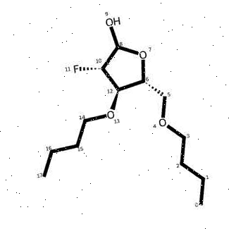 CCCCOC[C@H]1OC(O)[C@@H](F)[C@@H]1OCCCC